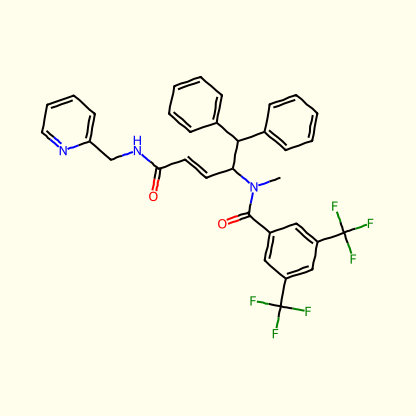 CN(C(=O)c1cc(C(F)(F)F)cc(C(F)(F)F)c1)C(C=CC(=O)NCc1ccccn1)C(c1ccccc1)c1ccccc1